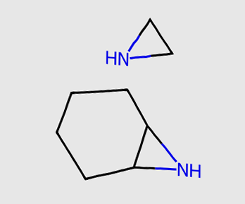 C1CCC2NC2C1.C1CN1